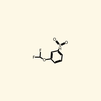 O=[SH](=O)c1cccc(OC(F)F)c1